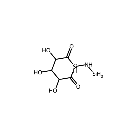 O=C1C(O)C(O)C(O)C(=O)[SiH]1N[SiH3]